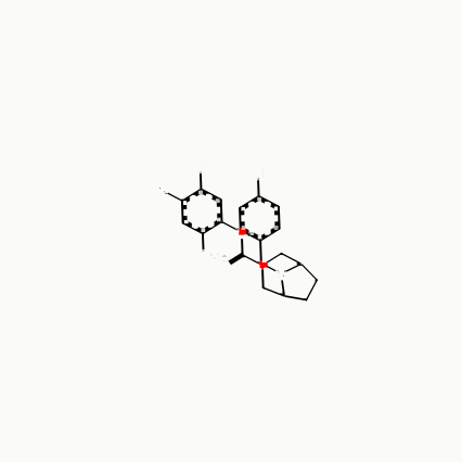 COc1cc(N)c(Cl)cc1NC(=O)C1CC2CCC(C1)N2Cc1ccc(Cl)cc1